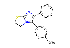 COc1ccc(-c2c(-c3ccccc3)nc3n2CCS3)cc1